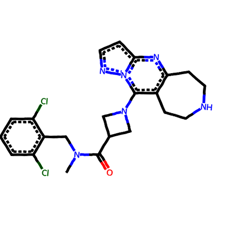 CN(Cc1c(Cl)cccc1Cl)C(=O)C1CN(c2c3c(nc4ccnn24)CCNCC3)C1